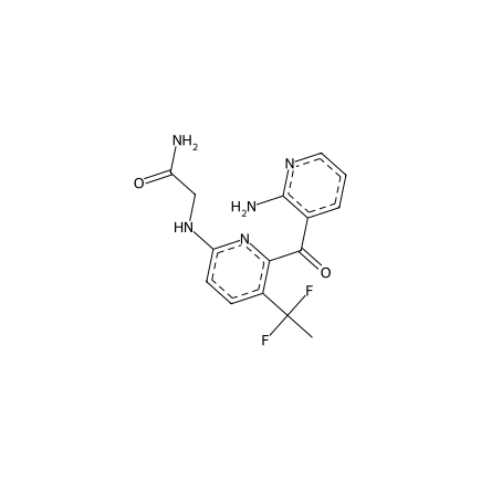 CC(F)(F)c1ccc(NCC(N)=O)nc1C(=O)c1cccnc1N